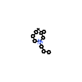 CC(C)(C)c1ccc(-c2cccc(-c3cccc(-c4nc(-c5ccc(-c6cccc(-c7ccccc7)c6)cc5)nc(-c5cccc(-c6cccc7ccccc67)c5)n4)c3)c2)cc1